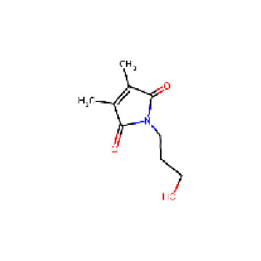 CC1=C(C)C(=O)N(CCCO)C1=O